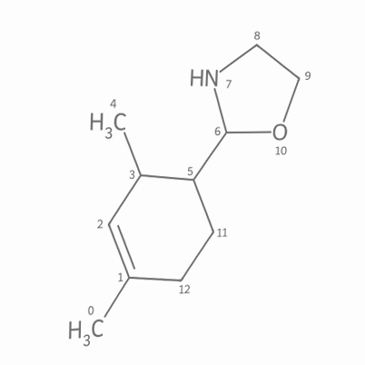 CC1=CC(C)C(C2NCCO2)CC1